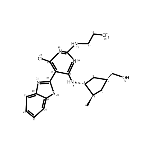 C[C@@H]1C[C@@H](CO)C[C@H]1Nc1nc(NCCC(F)(F)F)nc(Cl)c1-c1nc2ccccc2s1